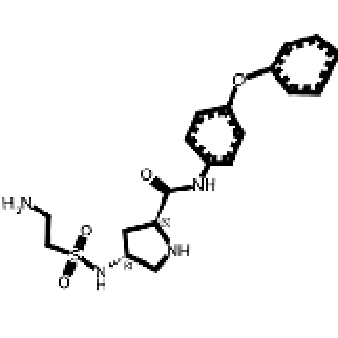 NCCS(=O)(=O)N[C@H]1CN[C@H](C(=O)Nc2ccc(Oc3ccccc3)cc2)C1